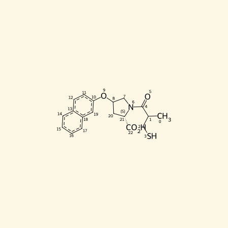 CC(CS)C(=O)N1CC(Oc2ccc3ccccc3c2)C[C@H]1C(=O)O